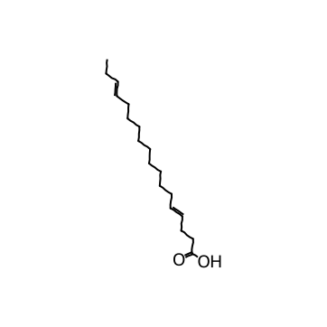 CC/C=C/CCCCCCCCC/C=C/CCC(=O)O